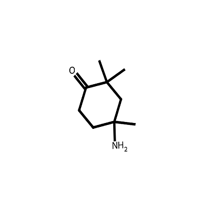 CC1(N)CCC(=O)C(C)(C)C1